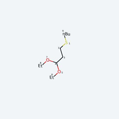 CCCCSCCC(OCC)OCC